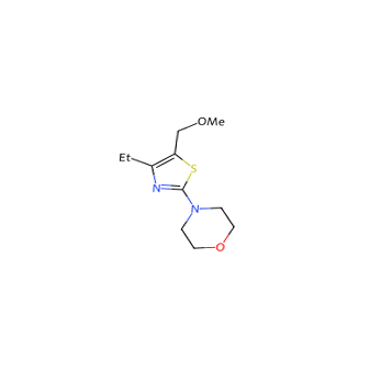 CCc1nc(N2CCOCC2)sc1COC